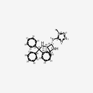 Cn1nnnc1S[C@@H]1NC(=O)[C@H]1NC(c1ccccc1)(c1ccccc1)c1ccccc1